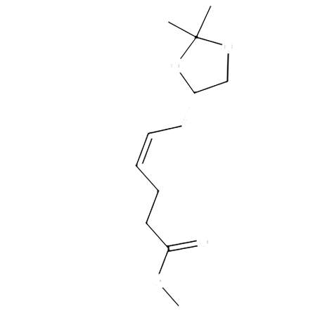 COC(=O)CC/C=C\C[C@H]1COC(C)(C)O1